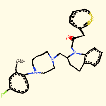 COc1cc(F)ccc1N1CCN(CC2CCc3ccccc3N2C(=O)Cc2cccs2)CC1